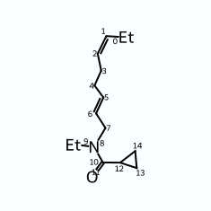 CC/C=C\CC/C=C/CN(CC)C(=O)C1CC1